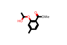 COC(=O)c1ccc(C)cc1O[C](C)O